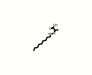 CCCCCCCCCNN=C(C)C(=O)O